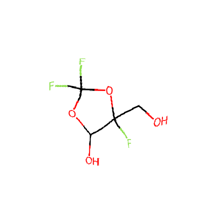 OCC1(F)OC(F)(F)OC1O